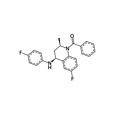 C[C@@H]1C[C@H](Nc2ccc(F)cc2)c2cc(F)ccc2N1C(=O)c1ccccc1